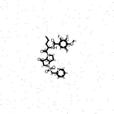 CCCC(NC(=O)c1cc(F)c(OC)c(F)c1F)C(=O)N1CCC2C1C(=O)CN2S(=O)(=O)Cc1ccccn1